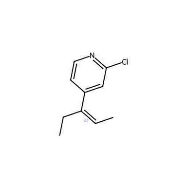 C/C=C(/CC)c1ccnc(Cl)c1